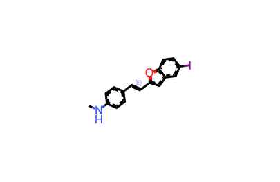 CNc1ccc(/C=C/c2cc3cc(I)ccc3o2)cc1